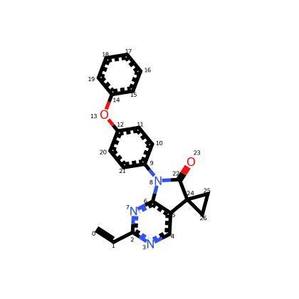 C=Cc1ncc2c(n1)N(c1ccc(Oc3ccccc3)cc1)C(=O)C21CC1